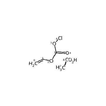 C=COC(=O)OCl.CC(=O)O